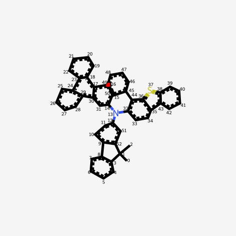 CC1(C)c2ccccc2-c2ccc(N(c3ccc4c5ccccc5c5ccccc5c4c3)c3ccc4c(sc5ccccc54)c3-c3ccccc3)cc21